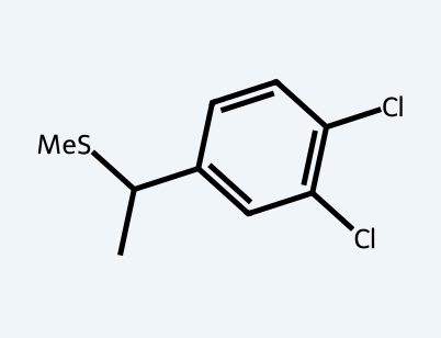 CSC(C)c1ccc(Cl)c(Cl)c1